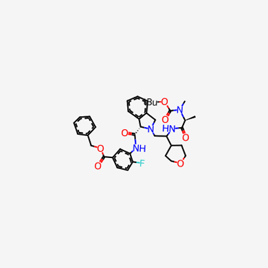 C[C@@H](C(=O)NC(CN1Cc2ccccc2[C@H]1C(=O)Nc1cc(C(=O)OCc2ccccc2)ccc1F)C1CCOCC1)N(C)C(=O)OC(C)(C)C